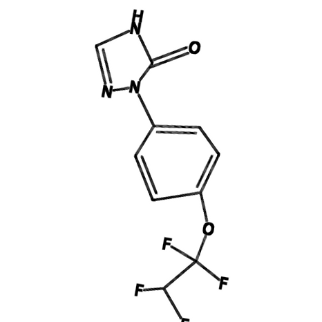 O=c1[nH]cnn1-c1ccc(OC(F)(F)C(F)F)cc1